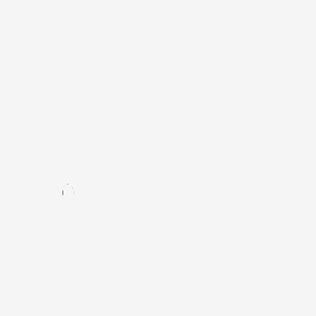 [O]c1ccccc1-c1[c]cccc1